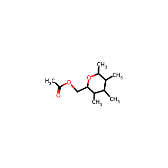 CC(=O)OCC1OC(C)C(C)C(C)C1C